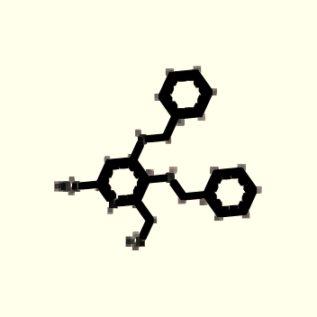 NCc1nc(C(=O)O)cc(OCc2ccccc2)c1OCc1ccccc1